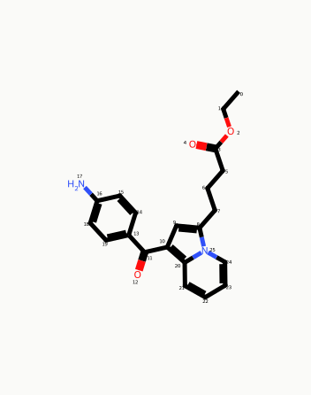 CCOC(=O)CCCc1cc(C(=O)c2ccc(N)cc2)c2ccccn12